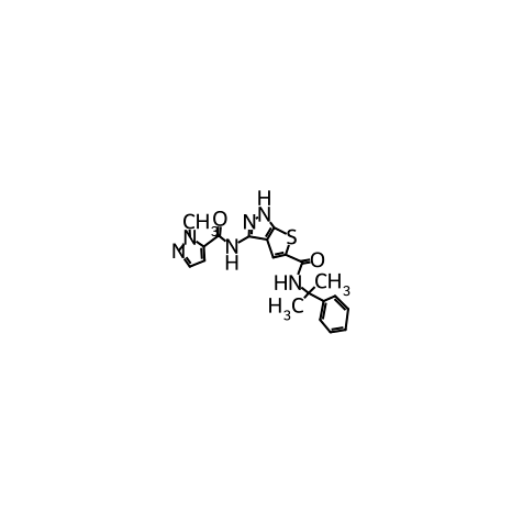 Cn1nccc1C(=O)Nc1n[nH]c2sc(C(=O)NC(C)(C)c3ccccc3)cc12